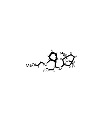 COCCOc1ccccc1[C@H](CO)OC1C[C@@H]2CC[C@@H](C1)O2